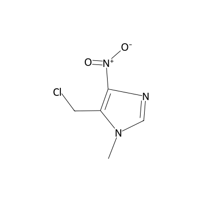 Cn1cnc([N+](=O)[O-])c1CCl